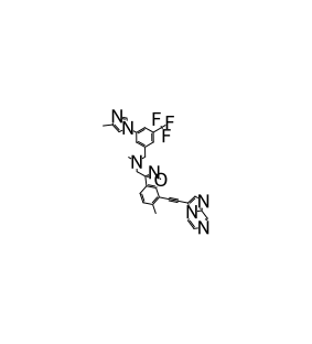 Cc1cn(-c2cc(CN(C)Cc3noc4c(C#Cc5cnc6cnccn56)c(C)ccc34)cc(C(F)(F)F)c2)cn1